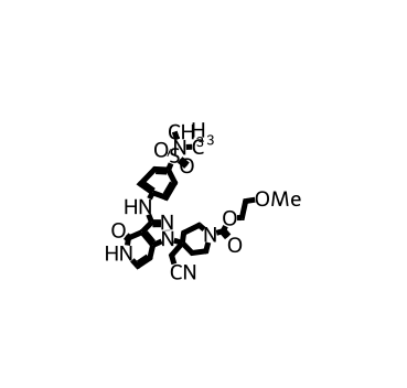 COCCOC(=O)N1CCC(CC#N)(n2nc(Nc3ccc(S(=O)(=O)N(C)C)cc3)c3c(=O)[nH]ccc32)CC1